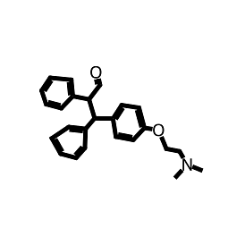 CN(C)CCOc1ccc(C(c2ccccc2)C(C=O)c2ccccc2)cc1